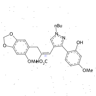 CCCCn1cc(/C=C(\Cc2cc3c(cc2OC)OCO3)C(=O)O)c(-c2ccc(OC)cc2O)n1